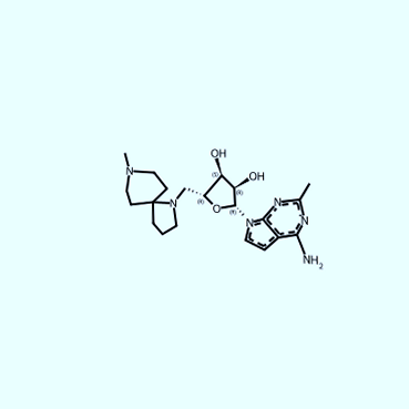 Cc1nc(N)c2ccn([C@@H]3O[C@H](CN4CCCC45CCN(C)CC5)[C@@H](O)[C@H]3O)c2n1